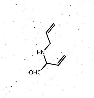 C=CCNC([C]=O)C=C